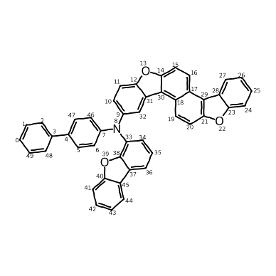 c1ccc(-c2ccc(N(c3ccc4oc5ccc6c(ccc7oc8ccccc8c76)c5c4c3)c3cccc4c3oc3ccccc34)cc2)cc1